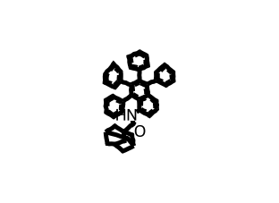 O=C(Nc1cccc2c(-c3ccccc3)c(-c3ccccc3)c(-c3ccccc3)c(-c3ccccc3)c12)C12CC3CC(CC(C3)C1)C2